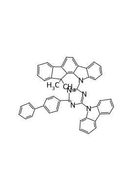 CC1(C)c2ccccc2-c2ccc3c4ccccc4n(-c4nc(-c5ccc(-c6ccccc6)cc5)nc(-n5c6ccccc6c6ccccc65)n4)c3c21